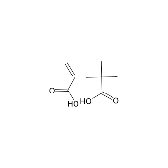 C=CC(=O)O.CC(C)(C)C(=O)O